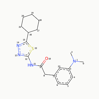 CN(C)c1cccc(CC(=O)Nc2nnc(C3CCCCC3)s2)c1